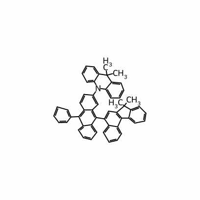 CC1(C)c2ccccc2N(c2ccc3c(-c4ccccc4)c4ccccc4c(-c4cc5c(c6ccccc46)-c4ccccc4C5(C)C)c3c2)c2ccccc21